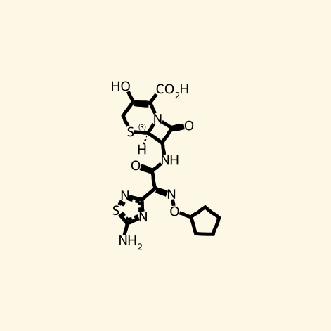 Nc1nc(C(=NOC2CCCC2)C(=O)NC2C(=O)N3C(C(=O)O)=C(O)CS[C@H]23)ns1